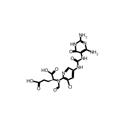 Nc1nc(N)c(NC(=O)Nc2cnc(N(C=O)[C@@H](CCC(=O)O)C(=O)O)c(Cl)c2)c(=O)[nH]1